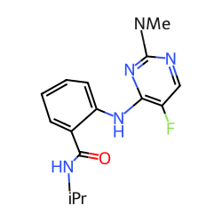 CNc1ncc(F)c(Nc2ccccc2C(=O)NC(C)C)n1